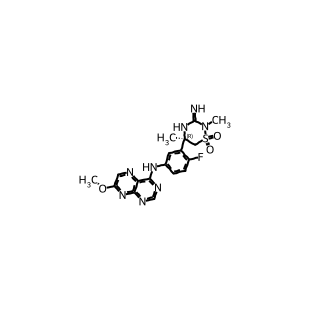 COc1cnc2c(Nc3ccc(F)c([C@]4(C)CS(=O)(=O)N(C)C(=N)N4)c3)ncnc2n1